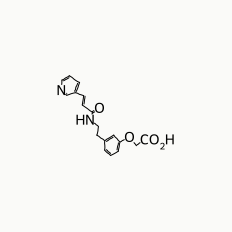 O=C(O)COc1cccc(CCNC(=O)C=Cc2cccnc2)c1